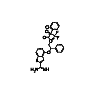 CO[C@@](C(=O)OCC(Oc1cccc2sc(C(=N)N)cc12)c1ccccc1)(c1ccccc1)C(F)(F)F